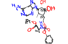 CC(C)OC(=O)[C@H](C)N[P@](=O)(OCC[C@H]1C(C)[C@@H](n2cnc3c(N)ncnc32)[C@H](O)[C@@H]1O)Oc1ccccc1